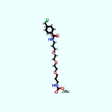 CC(C)(C)OC(=O)NCCCOCCOCCOCCCNC(=O)c1ccc(CCl)cc1